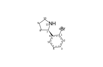 Brc1ccccc1[C@H]1CCCN1